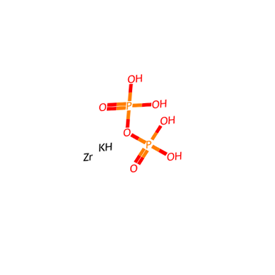 O=P(O)(O)OP(=O)(O)O.[KH].[Zr]